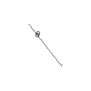 CCCCCCCCCCCC(=O)OCCCCCCCCCCCCCCCCCCCCCCCCCCCCCCCCC(C)C